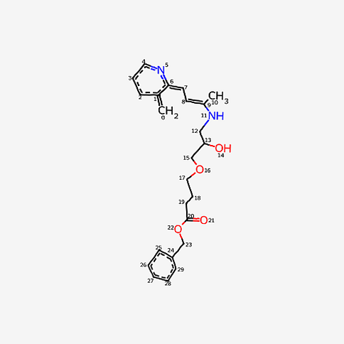 C=c1cccn/c1=C/C=C(\C)NCC(O)COCCCC(=O)OCc1ccccc1